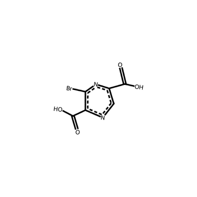 O=C(O)c1cnc(C(=O)O)c(Br)n1